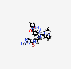 COc1cc(C(=O)N2CC3CCC2[C@@H]3N)cc2nc(-c3cc4cccnc4n3CC3CC3)n(CC3CN(C(=O)c4ccnc(N)n4)C3)c12